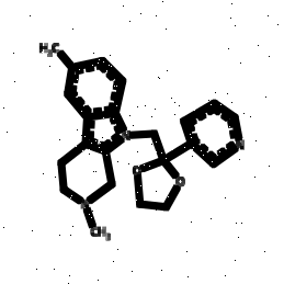 Cc1ccc2c(c1)c1c(n2CC2(c3cccnc3)OCCO2)CN(C)CC1